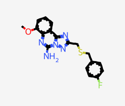 COc1cccc2c1nc(N)n1nc(CSCc3ccc(F)cc3)nc21